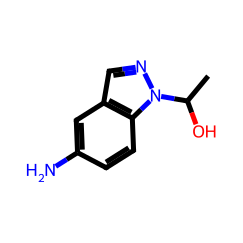 CC(O)n1ncc2cc(N)ccc21